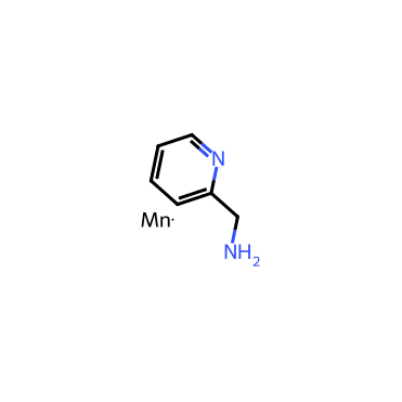 NCc1ccccn1.[Mn]